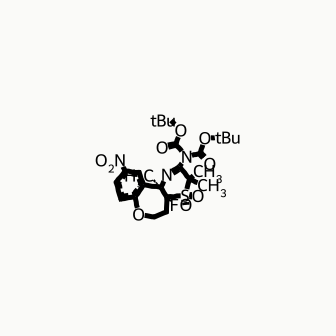 CC(C)(C)OC(=O)N(C(=O)OC(C)(C)C)C1=N[C@]2(C)c3cc([N+](=O)[O-])ccc3OCC[C@]2(F)S(=O)(=O)C1(C)C